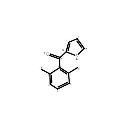 Cc1cccc(C)c1C(=O)c1cccs1